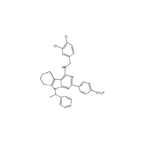 CC(c1ccccc1)n1c2c(c3c(NCc4ccc(Cl)c(Cl)c4)nc(-c4ccc(C(=O)O)cc4)nc31)CCCC2